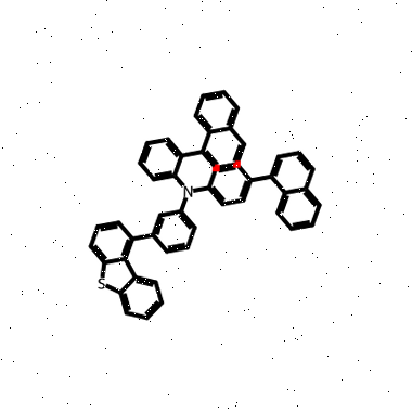 c1cc(-c2cccc3sc4ccccc4c23)cc(N(c2ccc(-c3cccc4ccccc34)cc2)c2ccccc2-c2cccc3ccccc23)c1